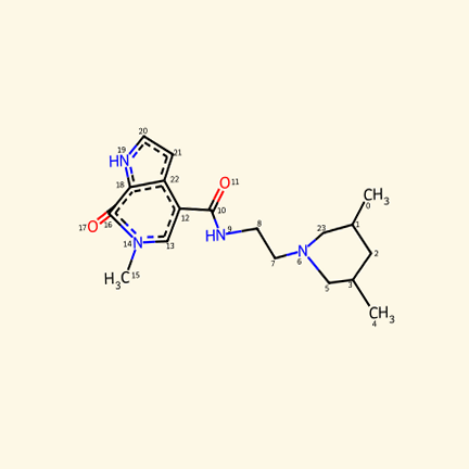 CC1CC(C)CN(CCNC(=O)c2cn(C)c(=O)c3[nH]ccc23)C1